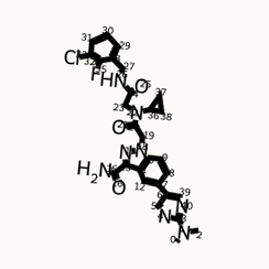 CN(C)c1ncc(-c2ccc3c(c2)c(C(N)=O)nn3CC(=O)N(CC(=O)NCc2cccc(Cl)c2F)C2CC2)cn1